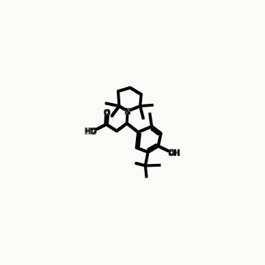 Cc1cc(O)c(C(C)(C)C)cc1C(CC(=O)O)N1C(C)(C)CCCC1(C)C